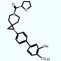 O=C(O)c1ccc(-c2ccc([C@H]3CC34CCN(C(=O)[C@H]3CCCO3)CC4)cc2)cc1O